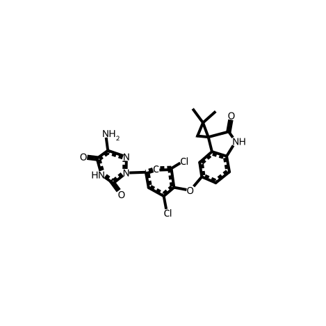 CC1(C)CC12C(=O)Nc1ccc(Oc3c(Cl)cc(-n4nc(N)c(=O)[nH]c4=O)cc3Cl)cc12